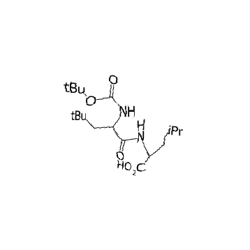 CC(C)CC(NC(=O)C(CC(C)(C)C)NC(=O)OC(C)(C)C)C(=O)O